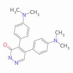 CN(C)c1ccc(C2=C(c3ccc(N(C)C)cc3)C(=O)[N]N=C2)cc1